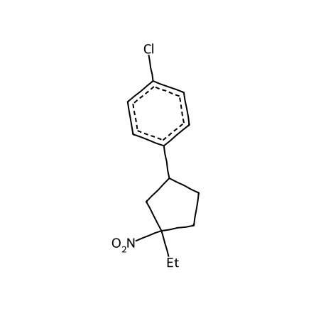 CCC1([N+](=O)[O-])CCC(c2ccc(Cl)cc2)C1